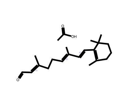 CC(=O)O.CC1=C(/C=C/C(C)=C/CC/C(C)=C/C=O)C(C)(C)CCC1